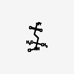 [CH2][CH]CS(=O)(=O)CCC(C)(C)NCl